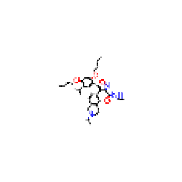 CCCCOc1cc(OCCCC)c(C(C)C)cc1-c1onc(C(=O)NCC)c1-c1ccc2c(c1)CCN(C(C)C)C2